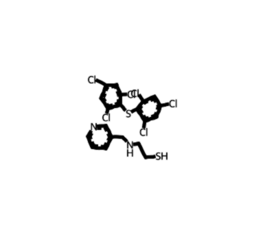 Clc1cc(Cl)c(Sc2c(Cl)cc(Cl)cc2Cl)c(Cl)c1.SCCNCc1cccnc1